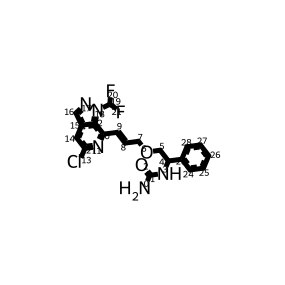 NC(=O)NC(COCC=Cc1nc(Cl)cc2cnn(C(F)F)c12)c1ccccc1